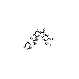 CC1CN2C(=O)c3cccc(NC(=O)Nc4ccccn4)c3C2OC1C